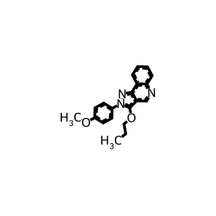 CCCOc1c2cnc3ccccc3c2nn1-c1ccc(OC)cc1